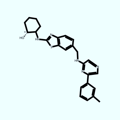 Cc1cccc(-c2cncc(NCc3ccc4nc(NC5CCCC[C@H]5O)sc4c3)n2)c1